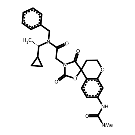 CNC(=O)Nc1ccc2c(c1)OCCC21OC(=O)N(CC(=O)N(Cc2ccccc2)[C@@H](C)C2CC2)C1=O